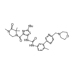 Cc1ccc(NC(=O)Nc2sc(C(C)(C)C)nc2C(=O)N2CCN(C)C(=O)C2(C)C)cc1-c1ccc(CN2CCOCC2)nc1